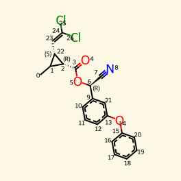 CC1[C@@H](C(=O)O[C@@H](C#N)c2cccc(Oc3ccccc3)c2)[C@H]1C=C(Cl)Cl